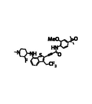 COc1cc(P(C)(C)=O)ccc1NC(=O)C#Cc1sc2c(N[C@@H]3CCN(C)C[C@@H]3F)cccc2c1CC(F)(F)F